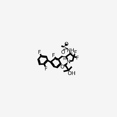 CC(C)(O)C(=O)N1CC(F)(F)[C@H](NS(C)(=O)=O)[C@@H]1Cc1cccc(-c2cc(F)ccc2F)c1F